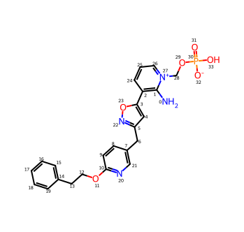 Nc1c(-c2cc(Cc3ccc(OCCc4ccccc4)nc3)no2)ccc[n+]1COP(=O)([O-])O